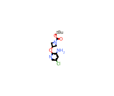 CC(C)(C)OC(=O)N1CC(Oc2ncc(Cl)cc2N)C1